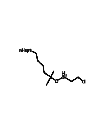 CCCCCCCCCCCC(C)(C)O[SiH2]CCCl